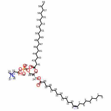 CCCCCCCC/C=C\CCCCCCCCCCCC(=O)OC[C@H](COP(=O)(O)OCC[N+](C)(C)C)OC(=O)CCCCCCCCCCCCCCCCCCC